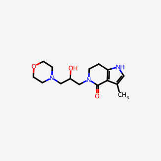 Cc1c[nH]c2c1C(=O)N(CC(O)CN1CCOCC1)CC2